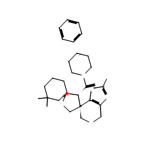 Cc1nc2c(s1)[C@]1(CNC2)CNC[C@H]1C(=O)N1CC[C@@H](c2ccccc2)C[C@H]1C1CCC(F)(F)CC1